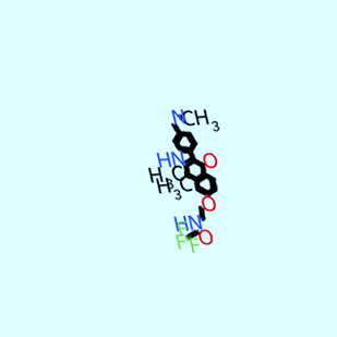 C/N=C\c1ccc2c3c([nH]c2c1)C(C)(C)c1cc(OCCNC(=O)C(F)(F)F)ccc1C3=O